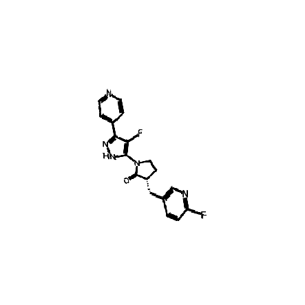 O=C1[C@@H](Cc2ccc(F)nc2)CCN1c1[nH]nc(-c2ccncc2)c1F